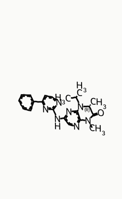 CC(C)N1c2nc(Nc3nccc(-c4ccccc4)n3)cnc2N(C)C(=O)[C@H]1C